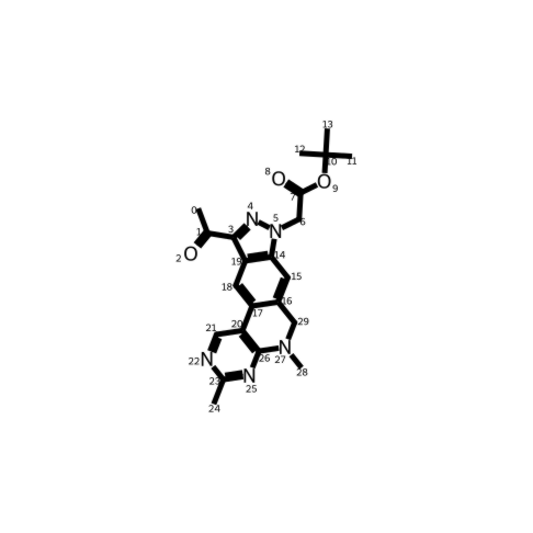 CC(=O)c1nn(CC(=O)OC(C)(C)C)c2cc3c(cc12)-c1cnc(C)nc1N(C)C3